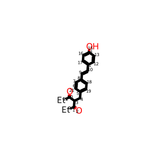 CCC(=O)C(Cc1ccc(/C=C/c2ccc(O)cc2)cc1)C(=O)CC